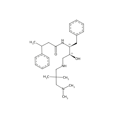 CC(CC(=O)N[C@@H](Cc1ccccc1)[C@@H](O)CNCC(C)(C)CN(C)C)c1ccccc1